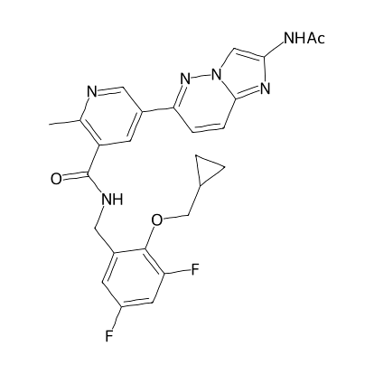 CC(=O)Nc1cn2nc(-c3cnc(C)c(C(=O)NCc4cc(F)cc(F)c4OCC4CC4)c3)ccc2n1